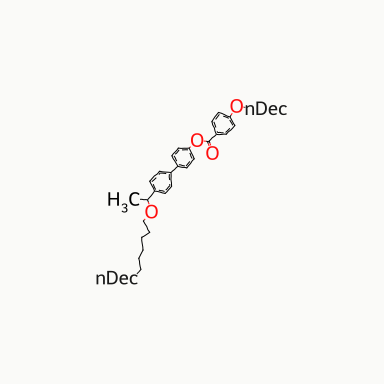 CCCCCCCCCCCCCCCCOC(C)c1ccc(-c2ccc(OC(=O)c3ccc(OCCCCCCCCCC)cc3)cc2)cc1